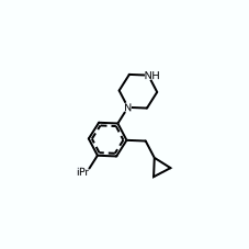 CC(C)c1ccc(N2CCNCC2)c(CC2CC2)c1